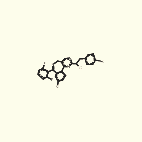 CCC(Cc1ccc(C(C)=O)cc1)c1ncc2c(n1)-c1ccc(Cl)cc1C(c1c(F)cccc1F)=NC2